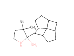 BC1(C2C3CCC4CC5CCC2C453)BCCC1(C)CC